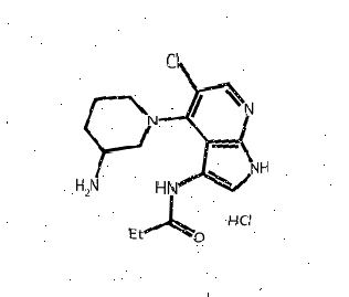 CCC(=O)Nc1c[nH]c2ncc(Cl)c(N3CCCC(N)C3)c12.Cl